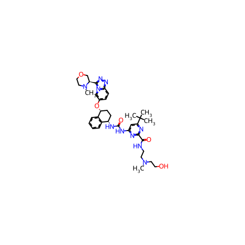 CN(CCO)CCNC(=O)c1nc(NC(=O)N[C@H]2CC[C@@H](Oc3ccc4nnc([C@@H]5COCCN5C)n4c3)c3ccccc32)cc(C(C)(C)C)n1